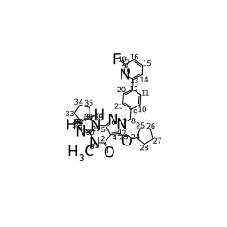 CN1C(=O)c2c(nn(Cc3ccc(-c4cccc(F)n4)cc3)c2OC2CCCC2)N2C1=N[C@@H]1CCC[C@@H]12